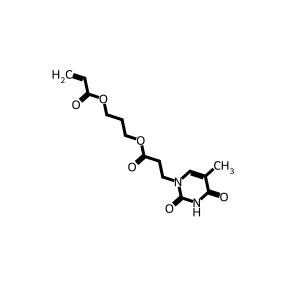 C=CC(=O)OCCCOC(=O)CCn1cc(C)c(=O)[nH]c1=O